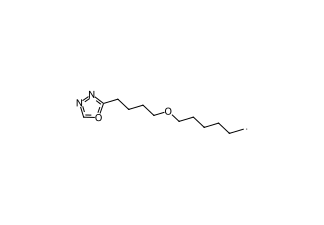 [CH2]CCCCCOCCCCc1nnco1